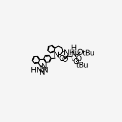 CC(C)(C)OC[C@@H](NC(=O)OC(C)(C)C)C(=O)N[C@@H]1CCc2ccccc2N(Cc2ccc(-c3ccccc3-c3nnn[nH]3)cc2)C1=O